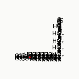 CC(O)[n+]1ccn(C)c1.CC(O)[n+]1ccn(C)c1.CC(O)[n+]1ccn(C)c1.CC(O)[n+]1ccn(C)c1.CC(O)[n+]1ccn(C)c1.CC(O)[n+]1ccn(C)c1.CC(O)[n+]1ccn(C)c1.CC(O)[n+]1ccn(C)c1.CC(O)[n+]1ccn(C)c1.CC(O)[n+]1ccn(C)c1.CC(O)[n+]1ccn(C)c1.CC(O)[n+]1ccn(C)c1.[O-]B([O-])F.[O-]B([O-])F.[O-]B([O-])F.[O-]B([O-])F.[O-]B([O-])F.[O-]B([O-])F